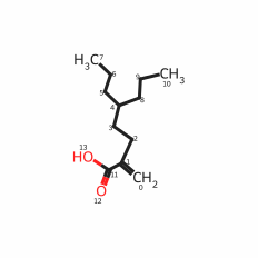 C=C(CCC(CCC)CCC)C(=O)O